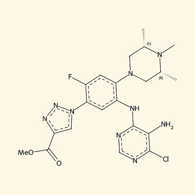 COC(=O)c1cn(-c2cc(Nc3ncnc(Cl)c3N)c(N3C[C@@H](C)N(C)[C@@H](C)C3)cc2F)nn1